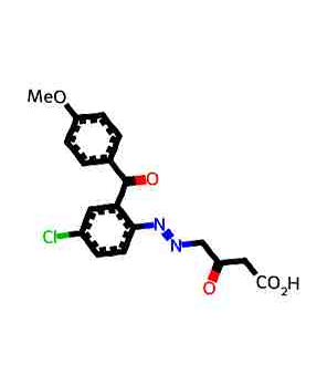 COc1ccc(C(=O)c2cc(Cl)ccc2N=NCC(=O)CC(=O)O)cc1